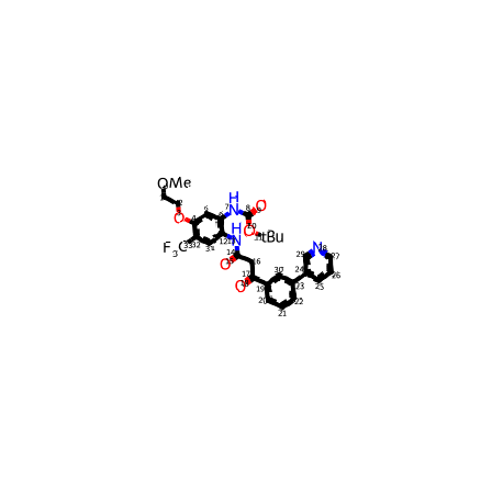 COCCOc1cc(NC(=O)OC(C)(C)C)c(NC(=O)CC(=O)c2cccc(-c3cccnc3)c2)cc1C(F)(F)F